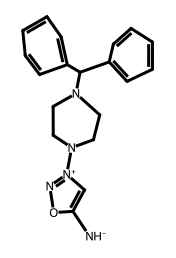 [NH-]c1c[n+](N2CCN(C(c3ccccc3)c3ccccc3)CC2)no1